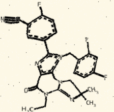 CCN1C(=O)c2nc(-c3ccc(F)c(C#N)c3)n(Cc3ccc(F)cc3F)c2N2CC(C)(C)N=C12